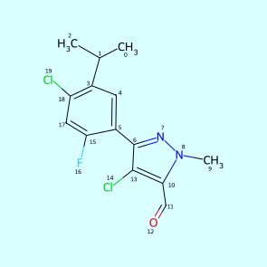 CC(C)c1cc(-c2nn(C)c(C=O)c2Cl)c(F)cc1Cl